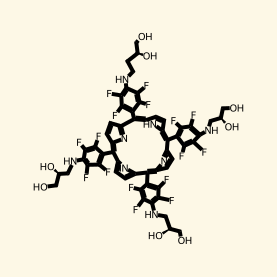 OC[C@@H](O)CCNc1c(F)c(F)c(-c2c3nc(c(-c4c(F)c(F)c(NC[C@H](O)CO)c(F)c4F)c4ccc([nH]4)c(-c4c(F)c(F)c(NC[C@H](O)CO)c(F)c4F)c4nc(c(-c5c(F)c(F)c(NC[C@H](O)CO)c(F)c5F)c5ccc2[nH]5)C=C4)C=C3)c(F)c1F